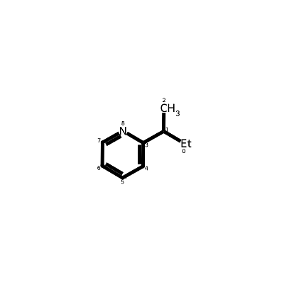 CCC(C)c1c[c]ccn1